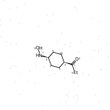 CCC(=O)[C@H]1CC[C@@H](NO)CC1